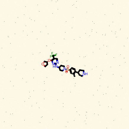 Cc1cc(S(=O)(=O)N2CCC(Nc3ncc(C(F)(F)F)c(O[C@H]4CCOC4)n3)CC2)ccc1C1CCNCC1